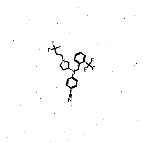 N#Cc1ccc(N(Cc2ccccc2C(F)(F)F)[C@H]2CCN(CCC(F)(F)F)C2)cc1